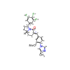 COc1cc(/C=C2\CC[C@@H]3CC[C@@H](c4cc(F)c(F)c(F)c4)N3C2=O)ccc1-n1cnc(C)c1